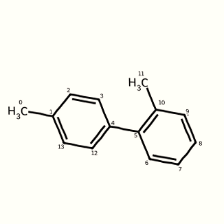 Cc1ccc(-c2ccc[c]c2C)cc1